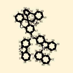 c1ccc2c(c1)Oc1cc(N(c3ccc4sc5ccccc5c4c3)c3ccc4c5ccccc5n(-c5cccc6ccccc56)c4c3)ccc1C21c2ccccc2-c2cccc3cccc1c23